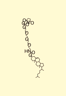 CC(C)CCCC(C)C1CCC2C3CC=C4CC(OC(=O)NCCOCCOCCOCCOC(=O)ON5C(=O)CCC5=O)CCC4(C)C3CCC12C